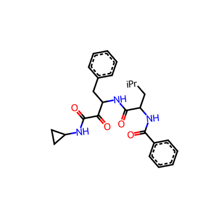 CC(C)CC(NC(=O)c1ccccc1)C(=O)NC(Cc1ccccc1)C(=O)C(=O)NC1CC1